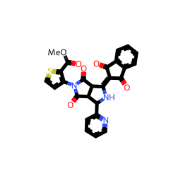 COC(=O)c1sccc1N1C(=O)C2C(=C3C(=O)c4ccccc4C3=O)NC(c3ccccn3)C2C1=O